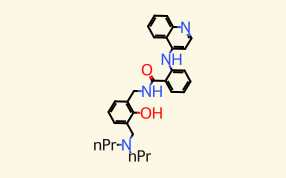 CCCN(CCC)Cc1cccc(CNC(=O)c2ccccc2Nc2ccnc3ccccc23)c1O